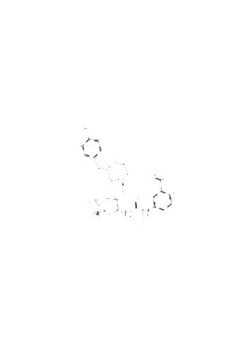 CC(=O)c1cccc(NC(=O)N[C@@H]2CS(=O)(=O)C[C@H]2CN2CCCC(Cc3ccc(F)cc3)C2)c1